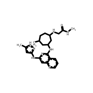 CNC(=O)CNC1CCC(C)CC(Nc2nc(Nc3cc(C)[nH]n3)cc3ncccc23)C1